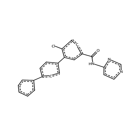 O=C(Nc1ccncn1)c1ccc(Cl)c(-c2ccc(-c3ccccc3)cc2)c1